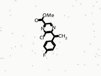 C=C(c1ccc(F)cc1)c1ncc(C(=O)OC)nc1Cl